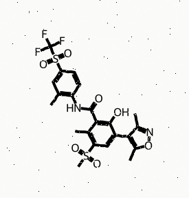 Cc1cc(S(=O)(=O)C(F)(F)F)ccc1NC(=O)c1c(C)c(S(C)(=O)=O)cc(-c2c(C)noc2C)c1O